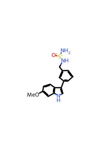 COc1ccc2c(-c3cccc(CN[S+](N)[O-])c3)c[nH]c2c1